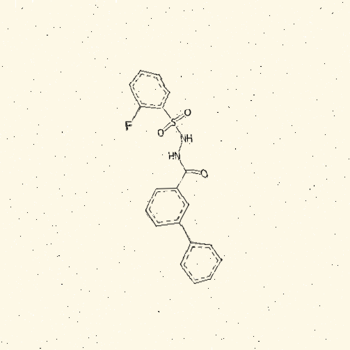 O=C(NNS(=O)(=O)c1ccccc1F)c1cccc(-c2ccccc2)c1